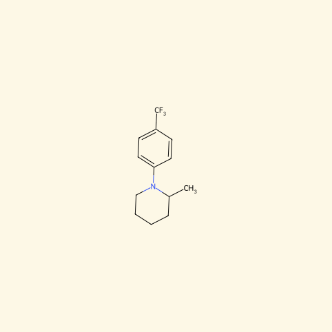 CC1CCCCN1c1ccc(C(F)(F)F)cc1